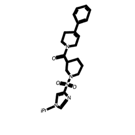 CC(C)n1cnc(S(=O)(=O)N2CCCC(C(=O)N3CC=C(c4ccccc4)CC3)C2)c1